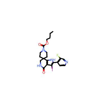 CCCCOC(=O)N1CCC2(CC1)CNC(=O)c1c2[nH]c(-c2ccncc2F)c1I